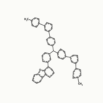 Cc1ccc(-c2cccc(-c3ccc(C(c4ccc(-c5cccc(-c6ccc(C)cc6)c5)cc4)c4cccc(-c5cccc6c5oc5ccccc56)c4)cc3)c2)cc1